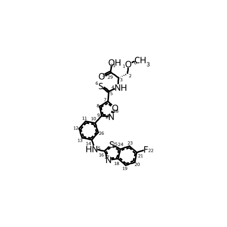 COC[C@H](NC(=S)c1cc(-c2cccc(Nc3nc4ccc(F)cc4s3)c2)no1)C(=O)O